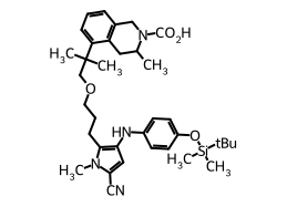 CC1Cc2c(cccc2C(C)(C)COCCCc2c(Nc3ccc(O[Si](C)(C)C(C)(C)C)cc3)cc(C#N)n2C)CN1C(=O)O